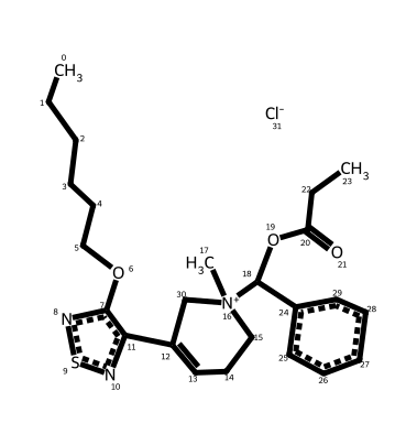 CCCCCCOc1nsnc1C1=CCC[N+](C)(C(OC(=O)CC)c2ccccc2)C1.[Cl-]